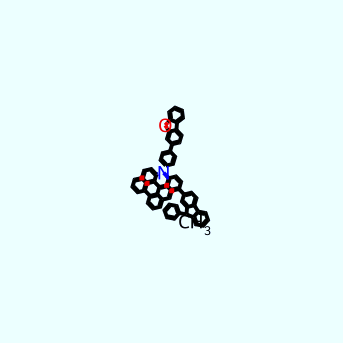 CC1(c2ccccc2)c2ccccc2-c2ccc(-c3ccc(N(c4ccc(-c5ccc6c(c5)oc5ccccc56)cc4)c4ccccc4-c4cccc5cccc(-c6ccccc6)c45)cc3)cc21